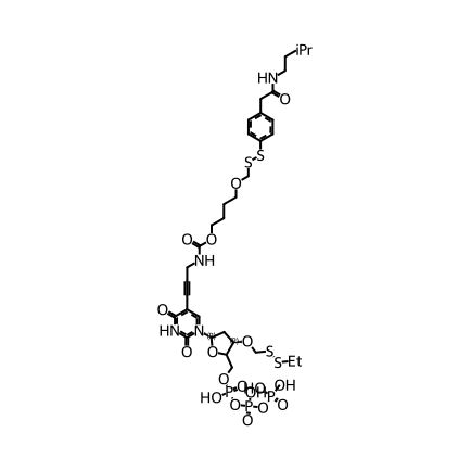 CCSSCO[C@@H]1C[C@H](n2cc(C#CCNC(=O)OCCCCOCSSc3ccc(CC(=O)NCCC(C)C)cc3)c(=O)[nH]c2=O)OC1COP(=O)(O)OP(=O)(O)OP(=O)(O)O